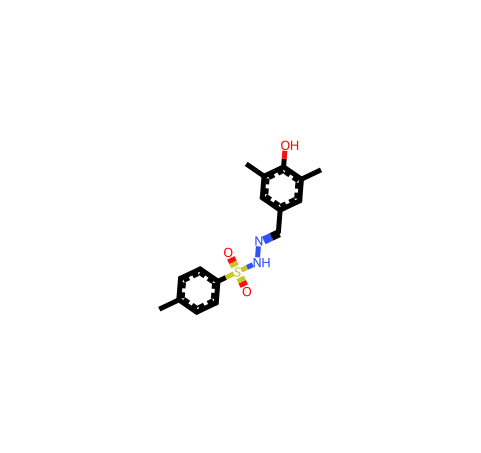 Cc1ccc(S(=O)(=O)NN=Cc2cc(C)c(O)c(C)c2)cc1